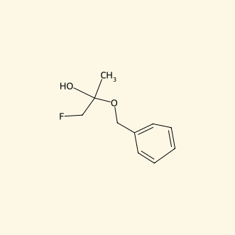 CC(O)(CF)OCc1ccccc1